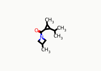 CC1CN(C(=O)C2C(C)C2C(C)C)C1